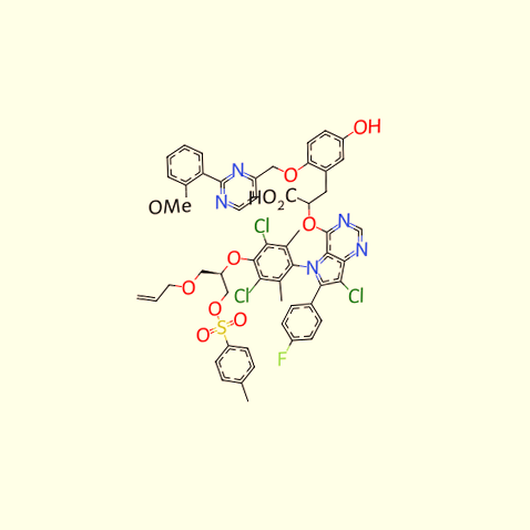 C=CCOC[C@H](COS(=O)(=O)c1ccc(C)cc1)Oc1c(Cl)c(C)c(-n2c(-c3ccc(F)cc3)c(Cl)c3ncnc(OC(Cc4cc(O)ccc4OCc4ccnc(-c5ccccc5OC)n4)C(=O)O)c32)c(C)c1Cl